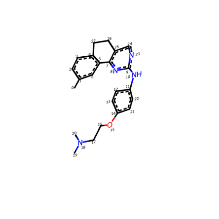 Cc1ccc2c(c1)-c1nc(Nc3ccc(OCCN(C)C)cc3)ncc1CC2